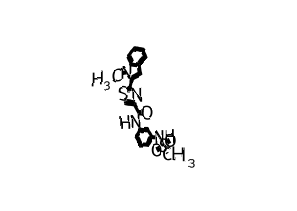 Cn1c(-c2nc(C(=O)Nc3cccc(NS(C)(=O)=O)c3)cs2)cc2ccccc21